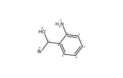 Nc1ccccc1C(O)Br